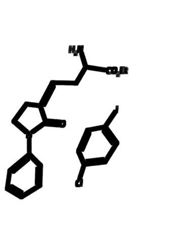 CCOC(=O)C(N)CC=C1CCN(c2ccccc2)C1=O.Clc1ccc(I)cc1